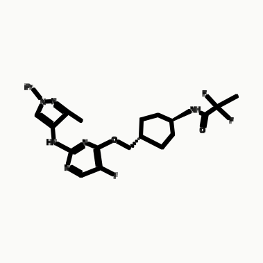 Cc1nn(C(C)C)cc1Nc1ncc(F)c(OC[C@H]2CC[C@H](NC(=O)C(C)(F)F)CC2)n1